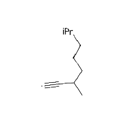 [C]#CC(C)CCCC(C)C